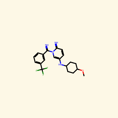 COC1CCC(Nc2ccc(=N)n(C(=N)c3cccc(C(F)(F)F)c3)c2)CC1